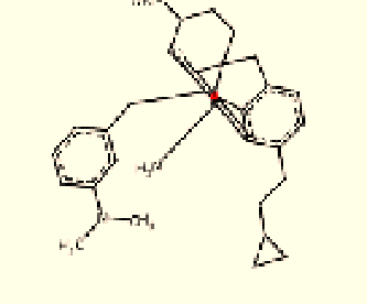 COC1CCC2(CC1)Cc1ccc(CCC3CC3)cc1C21N=C(N)N(Cc2cccc(N(C)C)c2)C1=O